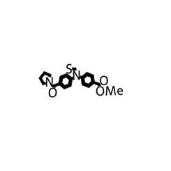 COC(=O)c1ccc(N2CSc3cc(C(=O)N4CCCC4)ccc32)cc1